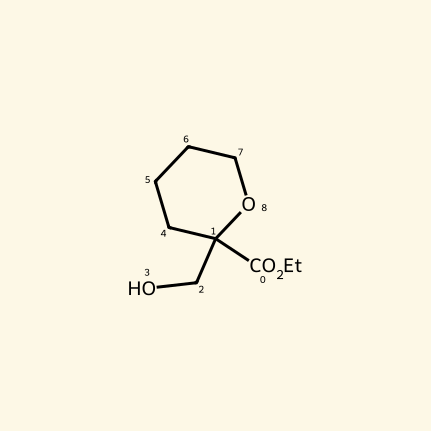 CCOC(=O)C1(CO)CCCCO1